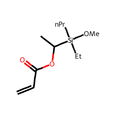 C=CC(=O)OC(C)[Si](CC)(CCC)OC